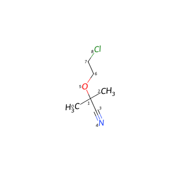 CC(C)(C#N)OCCCl